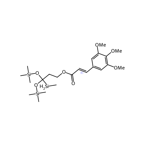 COc1cc(/C=C/C(=O)OCCC(O[Si](C)(C)C)(O[Si](C)(C)C)[SiH2]C)cc(OC)c1OC